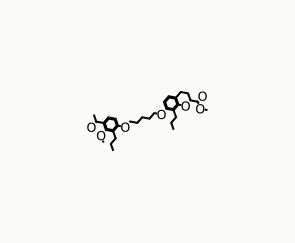 CCCc1c(OCCCCCOc2ccc(C(C)=O)c(OC)c2CCC)ccc2c1OC(C(=O)OC)CC2